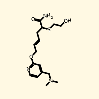 CN(C)Cc1ccnc(OCC=CCC(SCCO)C(N)=O)c1